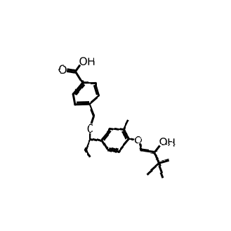 CCC(CCc1ccc(C(=O)O)cc1)c1ccc(OCC(O)C(C)(C)C)c(C)c1